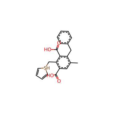 Cc1cc(C(=O)O)c(C[SH]2C=CC=C2)c(C(=O)O)c1Cc1ccccc1